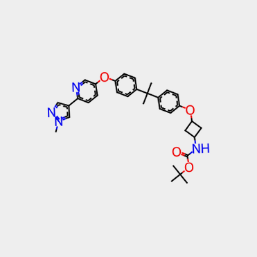 Cn1cc(-c2ccc(Oc3ccc(C(C)(C)c4ccc(OC5CC(NC(=O)OC(C)(C)C)C5)cc4)cc3)cn2)cn1